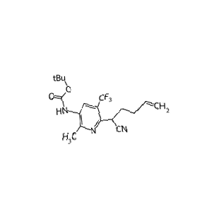 C=CCCC(C#N)c1nc(C)c(NC(=O)OC(C)(C)C)cc1C(F)(F)F